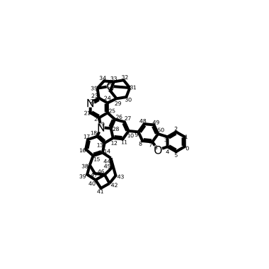 c1ccc2c(c1)oc1cc(-c3cc4c5c6c(ccc5n5c7cnc8c(c7c(c3)c45)C3CC4CC(CC8C4)C3)C3CC4CC5CC6CC45C3)ccc12